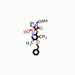 COCN1C(=O)[C@](Cc2ncc(C)c(OCCc3ccccc3)c2C)(OCO)[C@@H]1CC(C)C